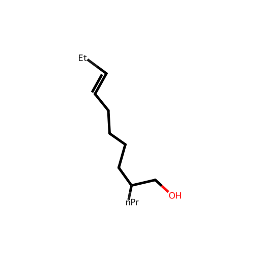 CC/C=C/CCCCC(CO)CCC